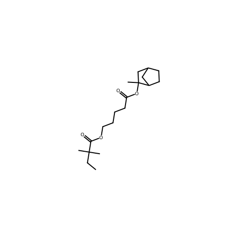 CCC(C)(C)C(=O)OCCCCC(=O)OC1(C)CC2CCC1C2